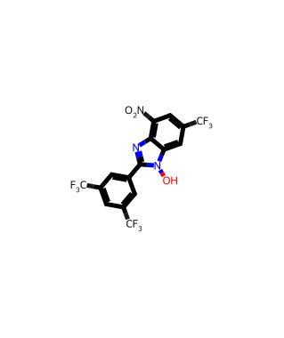 O=[N+]([O-])c1cc(C(F)(F)F)cc2c1nc(-c1cc(C(F)(F)F)cc(C(F)(F)F)c1)n2O